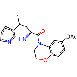 CC(=O)Oc1ccc2c(c1)N(C(=O)C(=N)CC(C)c1cccnc1)CCO2